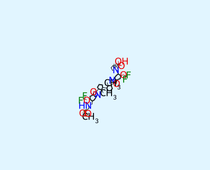 Cc1c(-c2nc3cc(CNCCS(C)(=O)=O)c(OC(F)F)cc3o2)cccc1-c1cccc(-c2nc3cc(CN4CCC[C@H]4C(=O)O)c(OC(F)F)cc3o2)c1C